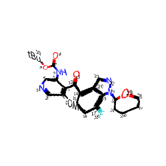 COc1cncc(NC(=O)OC(C)(C)C)c1C(=O)c1ccc(F)c2c1cnn2C1CCCCO1